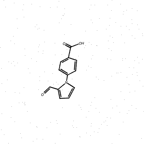 O=Cc1cccn1-c1ccc(C(=O)O)cc1